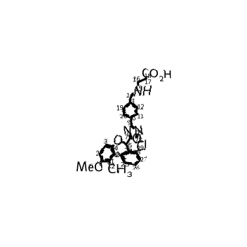 COc1ccc(OC(c2nc(-c3ccc(CNCCC(=O)O)cc3)no2)c2ccccc2Cl)cc1C